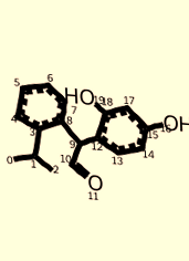 CC(C)c1ccccc1C(C=O)c1ccc(O)cc1O